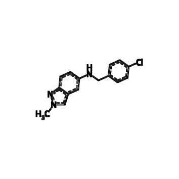 Cn1cc2cc(NCc3ccc(Cl)cc3)ccc2n1